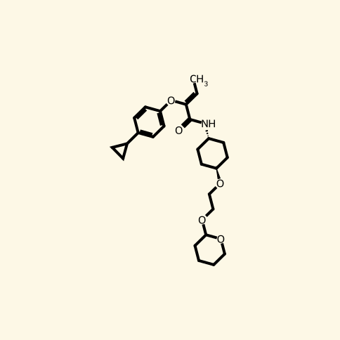 C/C=C(\Oc1ccc(C2CC2)cc1)C(=O)N[C@H]1CC[C@H](OCCOC2CCCCO2)CC1